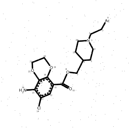 CC(=O)CCN1CCC(COC(=O)c2cc(Cl)c(N)c3c2OCCO3)CC1